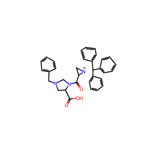 O=C(O)C1CN(Cc2ccccc2)CN1C(=O)C1C[N@@]1C(c1ccccc1)(c1ccccc1)c1ccccc1